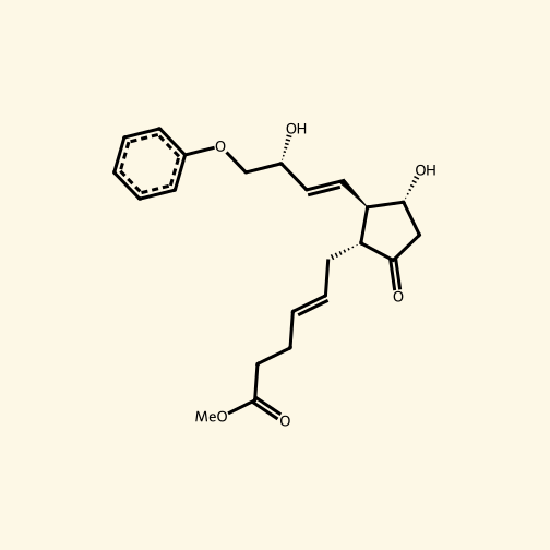 COC(=O)CC/C=C/C[C@H]1C(=O)C[C@@H](O)[C@@H]1/C=C/[C@@H](O)COc1ccccc1